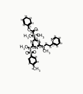 Cc1ccc(S(=O)(=O)N(C)c2nc(N(C)CCc3ccccn3)nc([N+](C)(C)C(=O)OC3=CC[CH]C=C3)n2)cc1